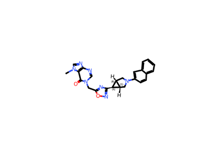 Cn1cnc2ncn(Cc3nc([C@H]4[C@@H]5CN(c6ccc7ccccc7c6)C[C@@H]54)no3)c(=O)c21